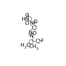 CC1(C)CCC(CN2CCN(Cc3cccc4c3CN(C3CCC(=O)NC3=O)C4=O)C2=O)=C(c2ccc(F)cc2)C1